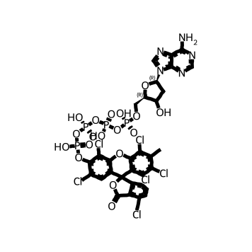 Cc1c(Cl)cc2c(c1Cl)Oc1c(cc(Cl)c(OP(=O)(O)OP(=O)(O)OP(=O)(O)OP(=O)(O)OC[C@H]3O[C@@H](n4cnc5c(N)ncnc54)CC3O)c1Cl)C21OC(=O)c2c(Cl)ccc(Cl)c21